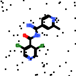 Cc1cc(C(=N)NC(=O)c2c(Cl)cncc2Cl)ccn1